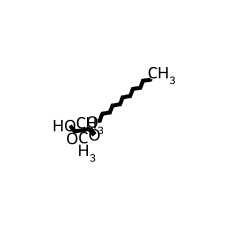 CCCCCCCCCCCCOC(=O)C(C)(C)C(=O)O